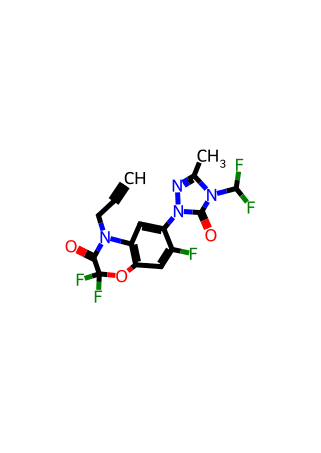 C#CCN1C(=O)C(F)(F)Oc2cc(F)c(-n3nc(C)n(C(F)F)c3=O)cc21